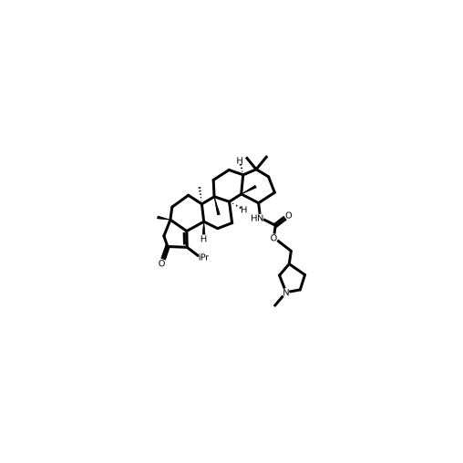 CC(C)C1=C2[C@H]3CC[C@@H]4[C@@]5(C)C(NC(=O)OCC6CCN(C)C6)CCC(C)(C)[C@@H]5CC[C@@]4(C)[C@]3(C)CC[C@@]2(C)CC1=O